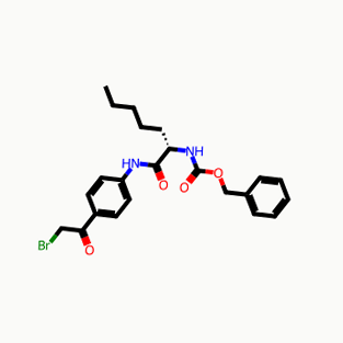 CCCCC[C@H](NC(=O)OCc1ccccc1)C(=O)Nc1ccc(C(=O)CBr)cc1